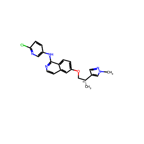 C[C@H](COc1ccc2c(Nc3ccc(Cl)nc3)nccc2c1)c1cnn(C)c1